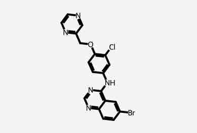 Clc1cc(Nc2ncnc3ccc(Br)cc23)ccc1OCc1cnccn1